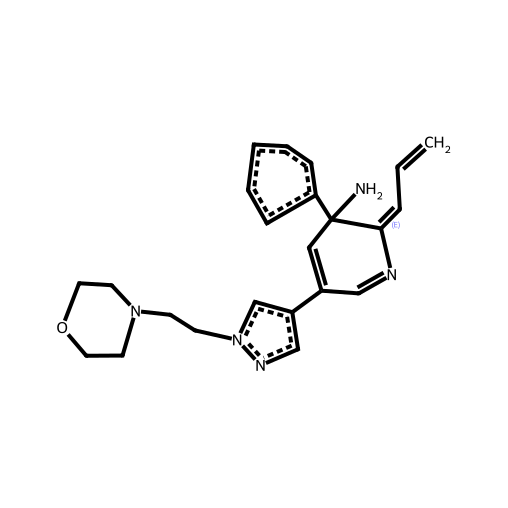 C=C/C=C1/N=CC(c2cnn(CCN3CCOCC3)c2)=CC1(N)c1ccccc1